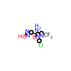 Nc1c(-c2ccc3ncc(O)nc3c2)c(=O)n(-c2ccc(Cl)cc2)c2nc(C(F)(F)F)ccc12